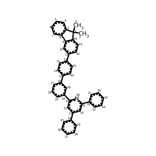 CC1(C)c2ccccc2-c2cc(-c3ccc(-c4cccc(-c5cc(-c6ccccc6)cc(-c6ccccc6)n5)c4)cc3)ccc21